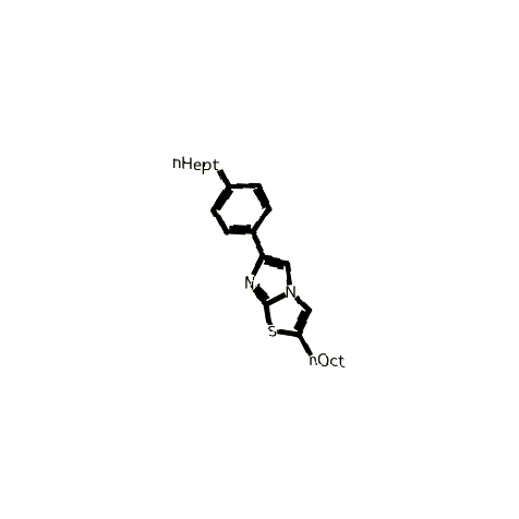 CCCCCCCCc1cn2cc(-c3ccc(CCCCCCC)cc3)nc2s1